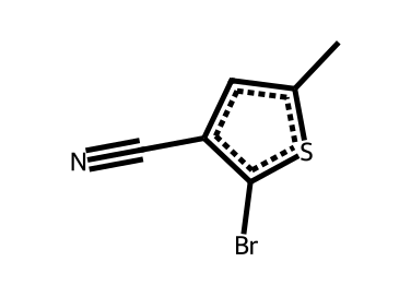 Cc1cc(C#N)c(Br)s1